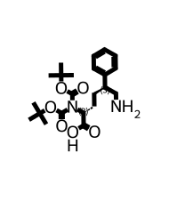 CC(C)(C)OC(=O)N(C(=O)OC(C)(C)C)[C@H](CC[C@H](CN)c1ccccc1)C(=O)O